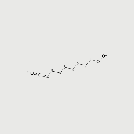 [O]OCCCCCCCC=C=O